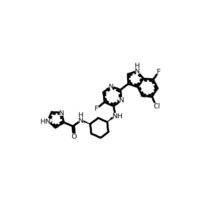 O=C(N[C@@H]1CCC[C@H](Nc2nc(-c3c[nH]c4c(F)cc(Cl)cc34)ncc2F)C1)c1c[nH]cn1